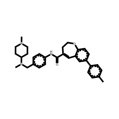 Cc1ccc(-c2ccc3c(c2)C=C(C(=O)Nc2ccc(CN(C)C4CCN(C)CC4)cc2)CCO3)cc1